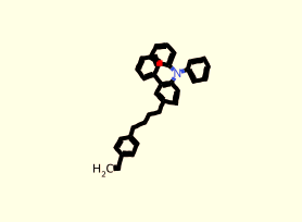 C=Cc1ccc(CCCCc2ccc(N(c3ccccc3)c3ccccc3)c(-c3ccccc3)c2)cc1